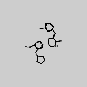 COc1ccc([C@H]2CNC(=O)/C(=C/c3cccc(C)c3)C2)cc1OC1CCCC1